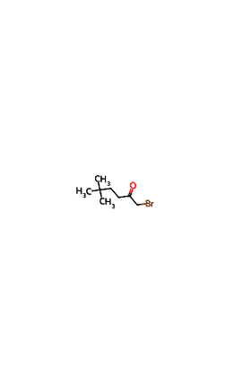 CC(C)(C)CCC(=O)CBr